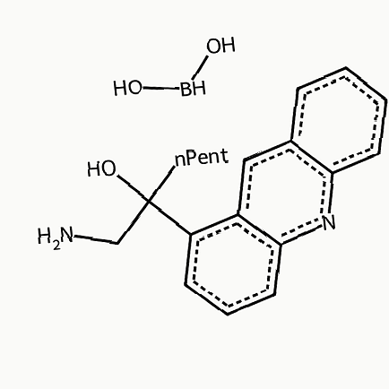 CCCCCC(O)(CN)c1cccc2nc3ccccc3cc12.OBO